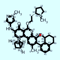 Cc1cc2c(nc(OCC[C@@H]3CCCN3C)c3c(=O)c(Nc4cnn(C)c4)cn([C@H]4[C@H]5CN[C@@H]4C5)c32)c(F)c1-c1cccc2c1C(C#N)CCC2